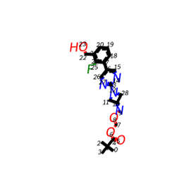 CC(C)(C)C(=O)OCON=C1CN(c2ncc(-c3cccc(CO)c3F)cn2)C1